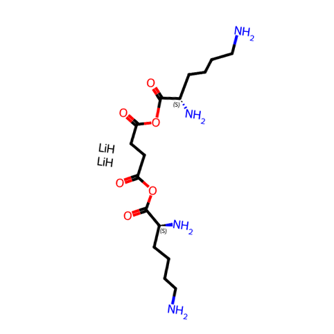 NCCCC[C@H](N)C(=O)OC(=O)CCC(=O)OC(=O)[C@@H](N)CCCCN.[LiH].[LiH]